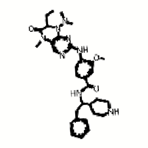 CCC1C(=O)N(C)c2cnc(Nc3ccc(C(=O)NC(Cc4ccccc4)C4CCNCC4)cc3OC)nc2N1N(C)C